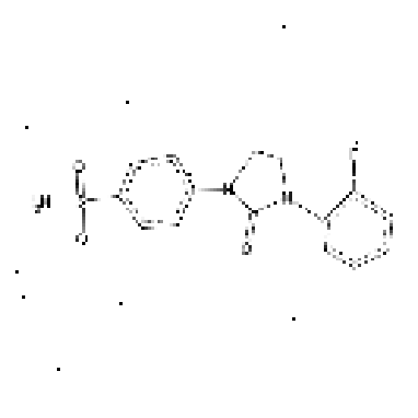 NS(=O)(=O)c1ccc(N2CCN(c3ccccc3F)C2=O)cc1